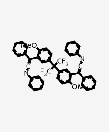 COc1ccc(C(c2ccc(OC)c(C(=C=Nc3ccccc3)c3ccccc3)c2)(C(F)(F)F)C(F)(F)F)cc1C(=C=Nc1ccccc1)c1ccccc1